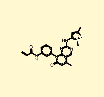 C=CC(=O)Nc1cccc(-n2c(=O)cc(C)c3cnc(Nc4cc(C)nn4C)nc32)c1